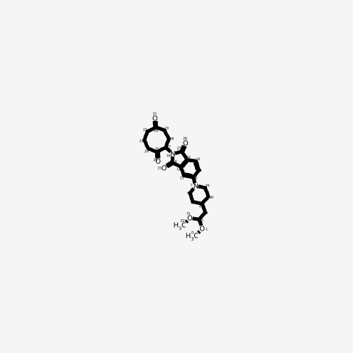 COC(CC1CCN(c2ccc3c(c2)C(=O)N(C2CCC(=O)CCCC2=O)C3=O)CC1)OC